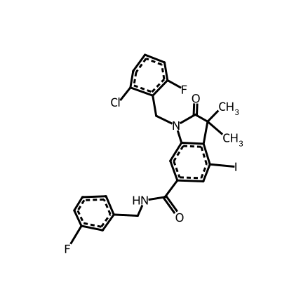 CC1(C)C(=O)N(Cc2c(F)cccc2Cl)c2cc(C(=O)NCc3cccc(F)c3)cc(I)c21